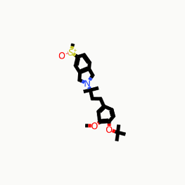 COc1cc(CCC(C)(C)N2Cc3ccc([S+](C)[O-])cc3C2)ccc1OC(C)(C)C